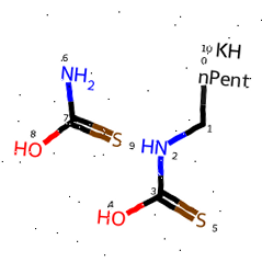 CCCCCCNC(O)=S.NC(O)=S.[KH]